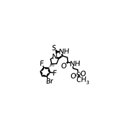 CS(=O)(=O)CCNC(=O)Cc1[nH]c(=S)n2c1C[C@H](c1c(F)ccc(Br)c1F)C2